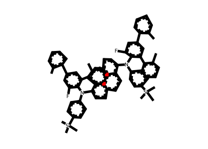 Cc1ccccc1-c1cc(F)c(N(c2ccc([Si](C)(C)C)cc2)c2ccc3ccc4c(N(c5ccc([Si](C)(C)C)cc5)c5c(F)cc(-c6ccccc6C)cc5-c5ccccc5C)ccc5ccc2c3c54)c(-c2ccccc2C)c1